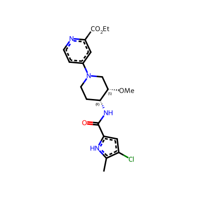 CCOC(=O)c1cc(N2CC[C@@H](NC(=O)c3cc(Cl)c(C)[nH]3)[C@@H](OC)C2)ccn1